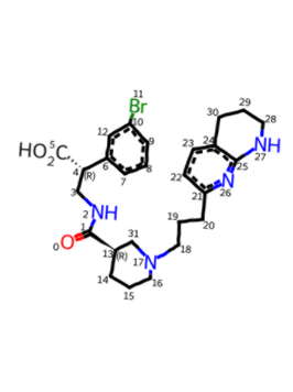 O=C(NC[C@H](C(=O)O)c1cccc(Br)c1)[C@@H]1CCCN(CCCc2ccc3c(n2)NCCC3)C1